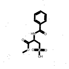 COC(=O)C(CS(=O)(=O)O)NC(=O)c1ccccc1